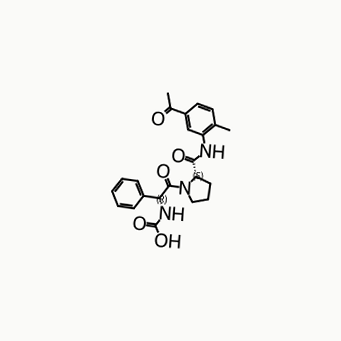 CC(=O)c1ccc(C)c(NC(=O)[C@@H]2CCCN2C(=O)[C@H](NC(=O)O)c2ccccc2)c1